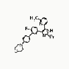 Cc1cccc(-c2[nH]c(C(C)C)nc2-c2ccc(F)c(-c3ccc(N4CCOCC4)cc3)c2)n1